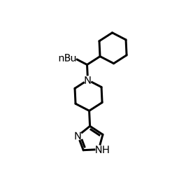 CCCCC(C1CCCCC1)N1CCC(c2c[nH]cn2)CC1